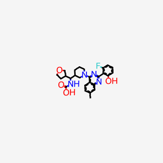 Cc1ccc2c(N3CCCC(C(NC(=O)O)C4CCOC4)C3)nc(-c3c(O)cccc3F)nc2c1